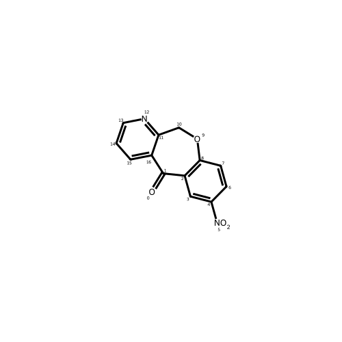 O=C1c2cc([N+](=O)[O-])ccc2OCc2ncccc21